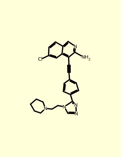 Nc1ncc2ccc(Cl)cc2c1C#Cc1ccc(-c2nncn2CCN2CCCCC2)cc1